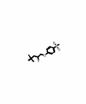 CC(C)(C)CC(F)COc1ccc(S(C)(=O)=O)cc1